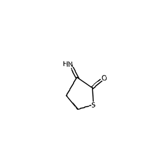 N=C1CCSC1=O